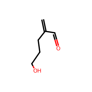 C=C(C=O)CCCO